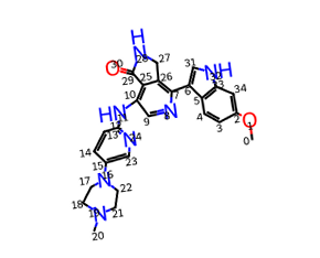 COc1ccc2c(-c3ncc(Nc4ccc(N5CCN(C)CC5)cn4)c4c3CNC4=O)c[nH]c2c1